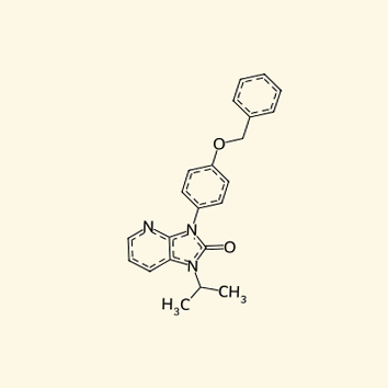 CC(C)n1c(=O)n(-c2ccc(OCc3ccccc3)cc2)c2ncccc21